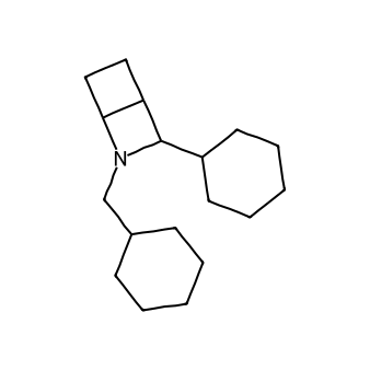 C1CCC(CN2C3CCC3C2C2CCCCC2)CC1